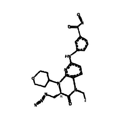 [N-]=[N+]=NC[C@@H]1C(=O)N(CI)c2ccc(Nc3cccc(C(=O)N=O)c3)nc2N1C1CCOCC1